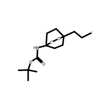 CC(C)(C)OC(=O)NC12CCC(CCI)(CC1)OC2